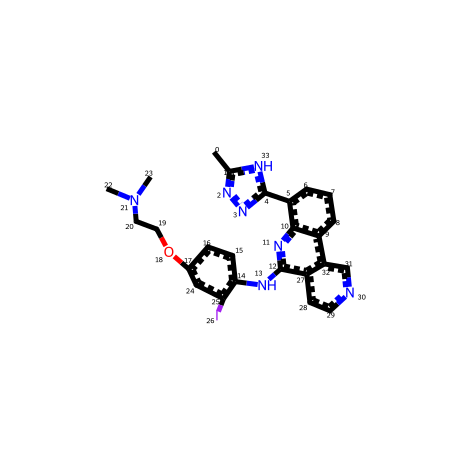 Cc1nnc(-c2cccc3c2nc(Nc2ccc(OCCN(C)C)cc2I)c2ccncc23)[nH]1